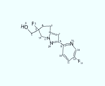 OCC1(F)CCc2cc(-c3ccc(F)cn3)nn2C1